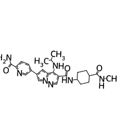 CNC(=O)C1CCC(NC(=O)c2cnn3cc(-c4ccc(C(N)=O)nc4)cc3c2NC(C)C)CC1